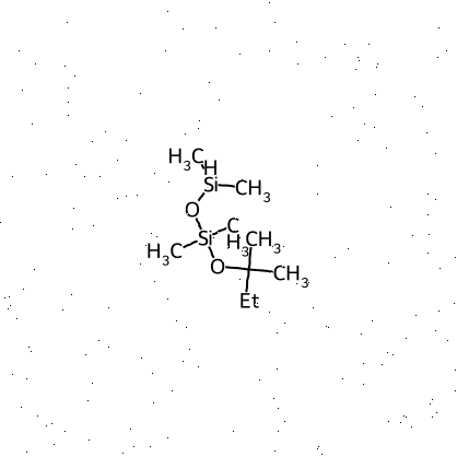 CCC(C)(C)O[Si](C)(C)O[SiH](C)C